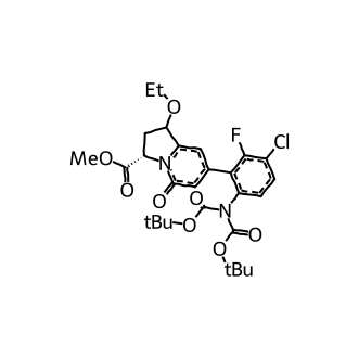 CCOC1C[C@@H](C(=O)OC)n2c1cc(-c1c(N(C(=O)OC(C)(C)C)C(=O)OC(C)(C)C)ccc(Cl)c1F)cc2=O